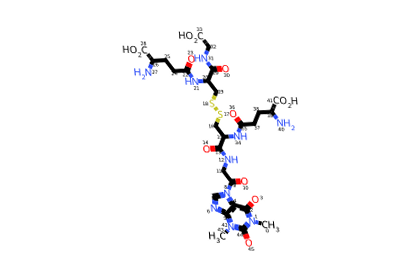 Cn1c(=O)c2c(ncn2C(=O)CNC(=O)C(CSSCC(NC(=O)CCC(N)C(=O)O)C(=O)NCC(=O)O)NC(=O)CCC(N)C(=O)O)n(C)c1=O